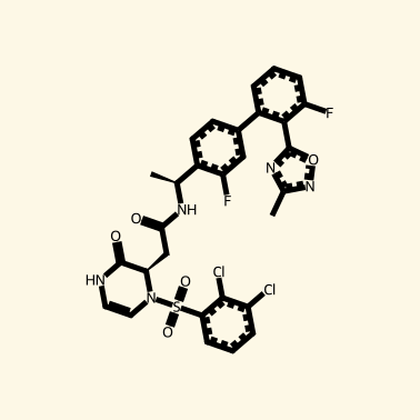 Cc1noc(-c2c(F)cccc2-c2ccc([C@H](C)NC(=O)C[C@@H]3C(=O)NC=CN3S(=O)(=O)c3cccc(Cl)c3Cl)c(F)c2)n1